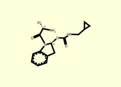 CC[C@H](N)C(=O)N1c2ccccc2C[C@@H]1OC(=O)NCC1CC1